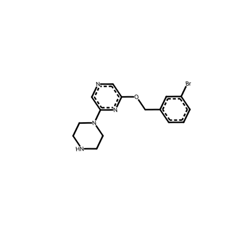 Brc1cccc(COc2cncc(N3CCNCC3)n2)c1